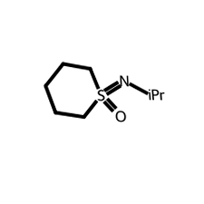 CC(C)N=S1(=O)CCCCC1